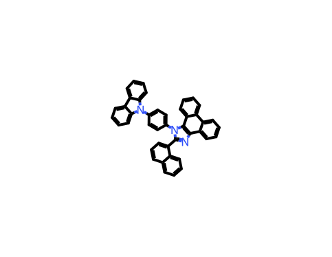 c1ccc2c(-c3nc4c5ccccc5c5ccccc5c4n3-c3ccc(-n4c5ccccc5c5ccccc54)cc3)cccc2c1